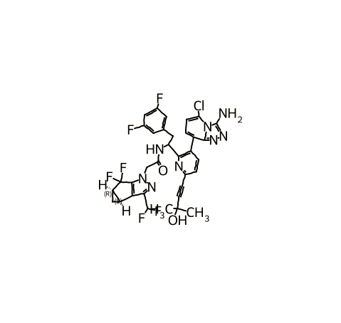 CC(C)(O)C#Cc1ccc(-c2ccc(Cl)n3c(N)nnc23)c(C(Cc2cc(F)cc(F)c2)NC(=O)Cn2nc(C(F)F)c3c2C(F)(F)[C@@H]2C[C@H]32)n1